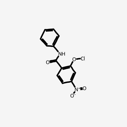 O=C(Nc1ccccc1)c1ccc([N+](=O)[O-])cc1OCl